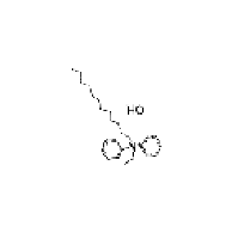 CCCCCCCCCCCC[N+](CC)(c1ccccc1)c1ccccc1.[OH-]